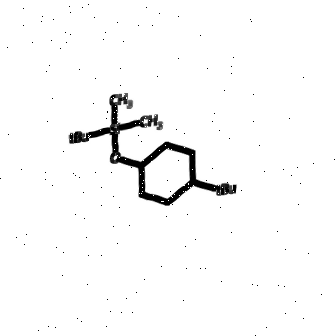 CC(C)(C)[C]1CCC(O[Si](C)(C)C(C)(C)C)CC1